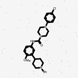 COc1ccc(NC(=O)N2CCN(c3ccc(Cl)cc3)CC2)cc1C1CCN(C(C)C)CC1